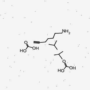 C#CCCCCCN.CC(C)C.CC(C)C.O=C(O)O.O=C(O)O